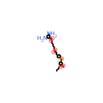 CCCCOc1ccc(C(F)(F)Oc2ccc(/C=C/C(=O)OCCCCCCOC(=O)c3cc(N)cc(N)c3)cc2)cc1OC